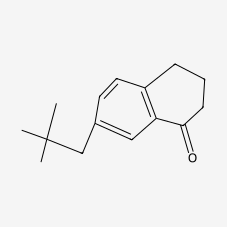 CC(C)(C)Cc1ccc2c(c1)C(=O)CCC2